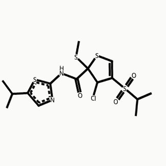 CSC1(C(=O)Nc2ncc(C(C)C)s2)SC=C(S(=O)(=O)C(C)C)C1Cl